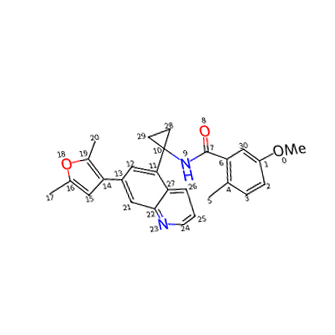 COc1ccc(C)c(C(=O)NC2(c3cc(-c4cc(C)oc4C)cc4ncccc34)CC2)c1